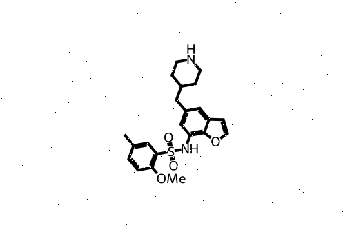 COc1ccc(C)cc1S(=O)(=O)Nc1cc(CC2CCNCC2)cc2ccoc12